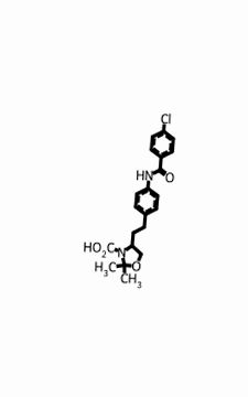 CC1(C)OCC(CCc2ccc(NC(=O)c3ccc(Cl)cc3)cc2)N1C(=O)O